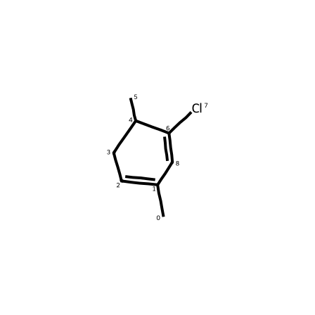 CC1=CCC(C)C(Cl)=C1